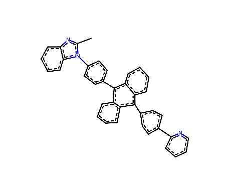 Cc1nc2ccccc2n1-c1ccc(-c2c3ccccc3c(-c3ccc(-c4ccccn4)cc3)c3ccccc23)cc1